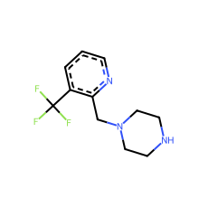 FC(F)(F)c1cccnc1CN1CCNCC1